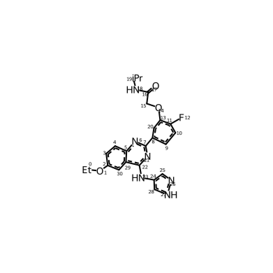 CCOc1ccc2nc(-c3ccc(F)c(OCC(=O)NC(C)C)c3)nc(Nc3cn[nH]c3)c2c1